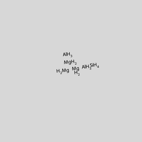 [AlH3].[AlH3].[MgH2].[MgH2].[MgH2].[SiH4]